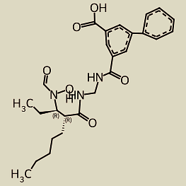 CCCCC[C@@H](C(=O)NCNC(=O)c1cc(C(=O)O)cc(-c2ccccc2)c1)[C@@H](CC)N(O)C=O